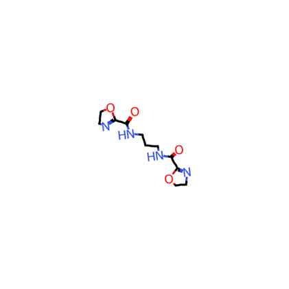 O=C(NCCCNC(=O)C1=NCCO1)C1=NCCO1